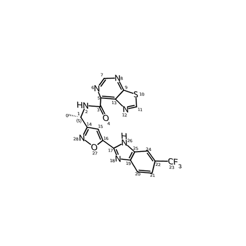 C[C@H](NC(=O)c1ncnc2scnc12)c1cc(-c2nc3ccc(C(F)(F)F)cc3[nH]2)on1